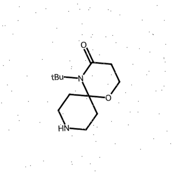 CC(C)(C)N1C(=O)CCOC12CCNCC2